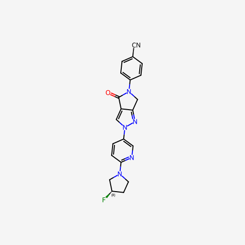 N#Cc1ccc(N2Cc3nn(-c4ccc(N5CC[C@@H](F)C5)nc4)cc3C2=O)cc1